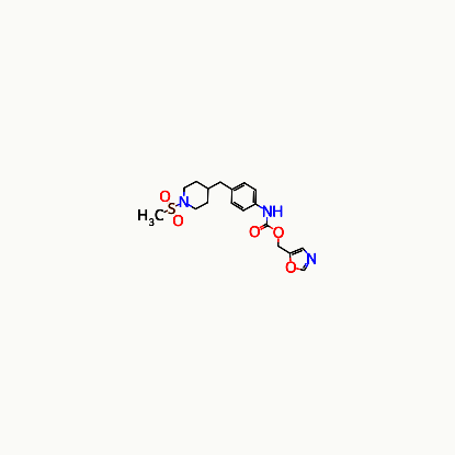 CS(=O)(=O)N1CCC(Cc2ccc(NC(=O)OCc3cnco3)cc2)CC1